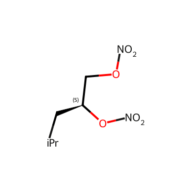 CC(C)C[C@@H](CO[N+](=O)[O-])O[N+](=O)[O-]